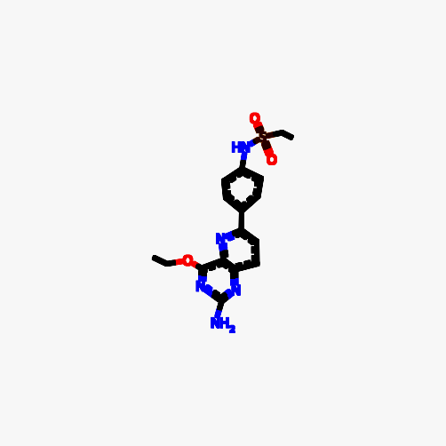 CCOc1nc(N)nc2ccc(-c3ccc(NS(=O)(=O)CC)cc3)nc12